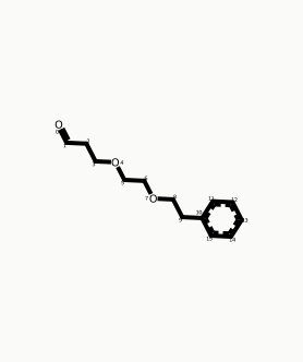 O=CCCOCCOCCc1ccccc1